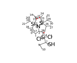 CCC(C[Si](Cl)(Cl)C(S)CC)N([Si](C(C)C)(C(C)C)C(C)C)[Si](C(C)C)(C(C)C)C(C)C